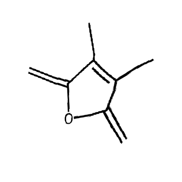 C=c1oc(=C)c(C)c1C